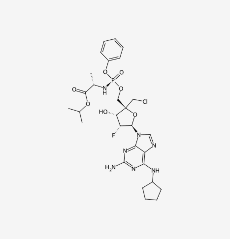 CC(C)OC(=O)[C@H](C)N[P@@](=O)(OC[C@@]1(CCl)O[C@@H](n2cnc3c(NC4CCCC4)nc(N)nc32)[C@H](F)[C@@H]1O)Oc1ccccc1